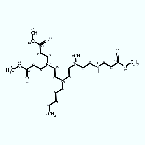 CCCCCN(CCN(C)CCNCCC(=O)OC)CCN(CCC(=O)OC)CCC(=O)OC